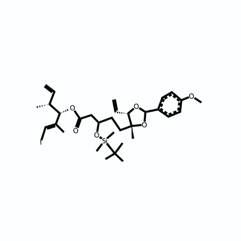 C=C[C@@H](C)[C@H](OC(=O)CC(CC[C@@]1(C)OC(c2ccc(OC)cc2)O[C@H]1C=C)O[Si](C)(C)C(C)(C)C)/C(C)=C/I